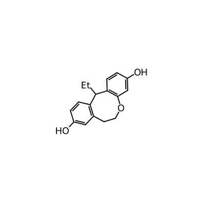 CCC1c2ccc(O)cc2CCOc2cc(O)ccc21